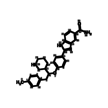 Cc1ccc(CC(Oc2ccc(-c3nc4cc(C(N)=O)ccc4[nH]3)cc2)C2CCCNC2)cc1